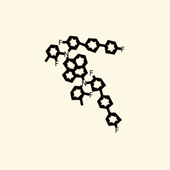 Cc1cccc(N(c2cc(-c3ccc(-c4ccc(F)cc4)cc3)ccc2F)c2cc3cccc4c(N(c5cc(-c6ccc(-c7ccc(F)cc7)cc6)ccc5F)c5cccc(C)c5F)cc5cccc2c5c34)c1F